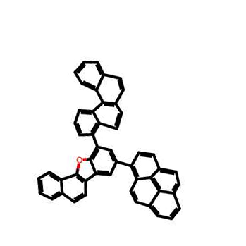 c1ccc2c(c1)ccc1c3cc(-c4ccc5ccc6cccc7ccc4c5c67)cc(-c4cccc5c4ccc4ccc6ccccc6c45)c3oc21